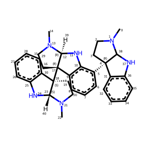 CN1CC[C@]2(c3cccc4c3N[C@@H]3N(C)CC[C@]43[C@@]34CCN(C)[C@@H]3Nc3ccccc34)c3ccccc3NC12